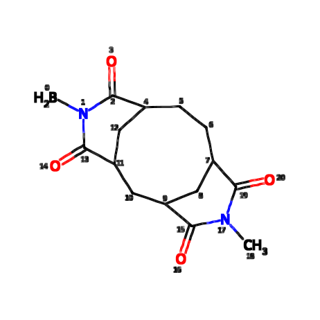 BN1C(=O)C2CCC3CC(CC(C2)C1=O)C(=O)N(C)C3=O